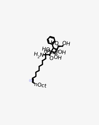 CCCCCCCC/C=C\CCCCCCCC(N)(CCCCC)C(=O)[C@@]1(O)C(c2ccccc2)[C@@](O)([C@H](O)CO)[C@@H]1O